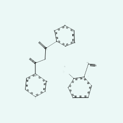 O=C(CC(=O)c1ccccc1)c1ccccc1.O=Cc1ccccc1O